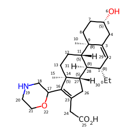 CC[C@H]1C=C2C[C@@H](O)CC[C@]2(C)[C@H]2CC[C@]3(C)C(C4CNCCO4)=C(CC(=O)O)C[C@H]3[C@H]12